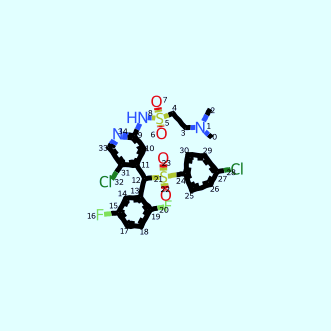 CN(C)CCS(=O)(=O)Nc1cc(C(c2cc(F)ccc2F)S(=O)(=O)c2ccc(Cl)cc2)c(Cl)cn1